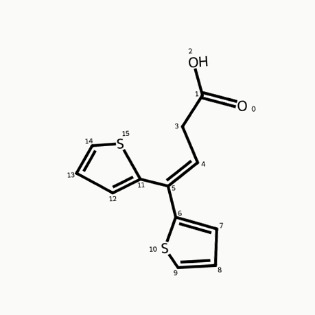 O=C(O)CC=C(c1cccs1)c1cccs1